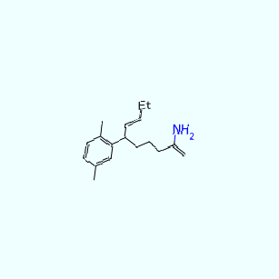 C=C(N)CCCC(C=CCC)c1cc(C)ccc1C